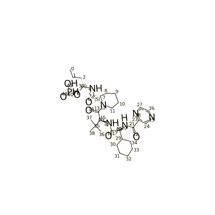 CCC[C@H](NC(=O)[C@@H]1CCCCN1C(=O)[C@@H](NC(=O)[C@@H](NC(=O)c1cnccn1)C1CCCCC1)C(C)(C)C)O[PH](=O)O